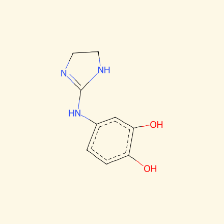 Oc1ccc(NC2=NCCN2)cc1O